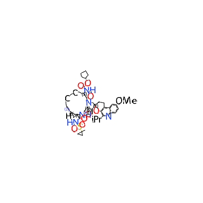 COc1ccc2nc(C(C)C)c3c(c2c1)CC[C@]1(C[C@H]2C(=O)N[C@]4(C(=O)NS(=O)(=O)C5(C)CC5)C[C@H]4/C=C\CCCCC[C@H](NC(=O)OC4CCCC4)C(=O)N2C1)O3